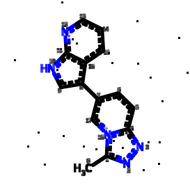 Cc1nnc2ccc(-c3c[nH]c4ncccc34)cn12